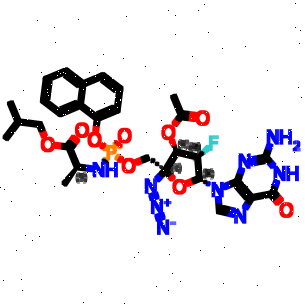 CC(=O)O[C@H]1[C@@H](F)[C@H](n2cnc3c(=O)[nH]c(N)nc32)O[C@@]1(COP(=O)(N[C@@H](C)C(=O)OCC(C)C)Oc1cccc2ccccc12)N=[N+]=[N-]